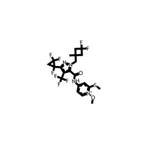 CO[n+]1ccc(NC(=O)c2c(C(F)(F)F)c(C3(F)CC3(F)F)nn2CC2(C)CC(F)(F)C2)cc1SC